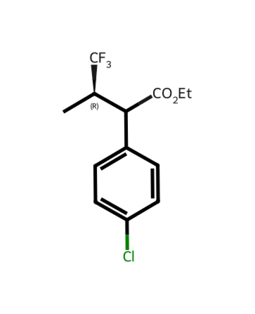 CCOC(=O)C(c1ccc(Cl)cc1)[C@@H](C)C(F)(F)F